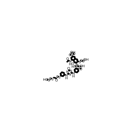 CC(=O)Nc1cc(S(=O)(=O)O)cc2cc(SOOO)c(N=Nc3cc(Nc4nc(Cl)nc(Nc5cccc(SOC(=O)CSOOO)c5)n4)ccc3S(=O)(=O)O)c(O)c12